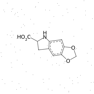 O=C(O)C1Cc2cc3c(cc2N1)OCO3